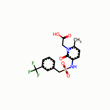 Cc1ccc(NS(=O)(=O)Cc2cccc(C(F)(F)F)c2)c(=O)n1CC(=O)O